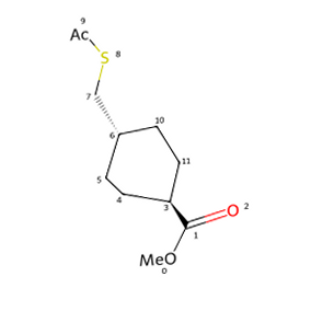 COC(=O)[C@H]1CC[C@H](CSC(C)=O)CC1